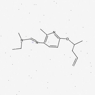 C=CCC(C)Oc1ccc(/N=C/N(C)CC)c(C)n1